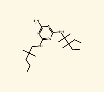 CCCC(C)(C)CNc1nc(N)nc(NC(C)(C)C(C)(CC)CC)n1